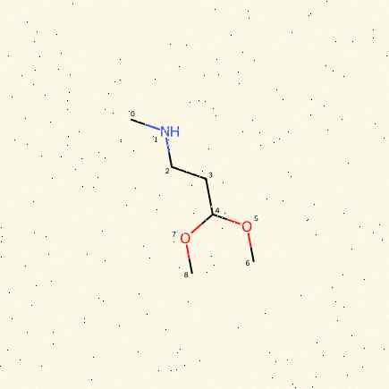 CNCCC(OC)OC